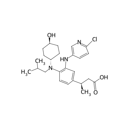 CC(C)CN(c1ccc([C@H](C)CC(=O)O)cc1Nc1ccc(Cl)nc1)[C@H]1CC[C@H](O)CC1